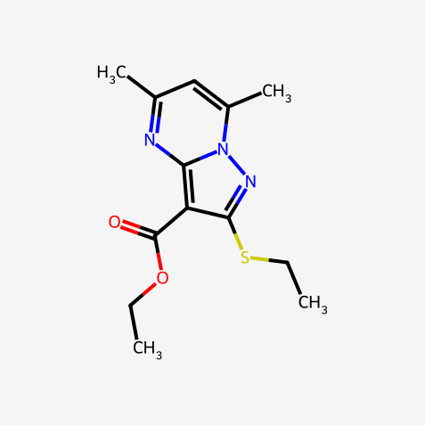 CCOC(=O)c1c(SCC)nn2c(C)cc(C)nc12